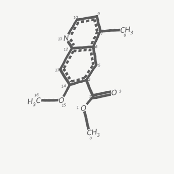 COC(=O)c1cc2c(C)ccnc2cc1OC